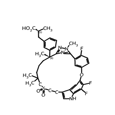 C[C@@H](Cc1cccc([C@@]2(C)CCCC(C)(C)CS(=O)(=O)CCc3c[nH]c4c(F)c(F)c(cc34)Oc3ccc(F)c(c3)-c3nc2nn3C)c1)C(=O)O